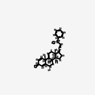 C[C@H]1C[C@@H]2C(=CC[C@]3(C)C(=C=C[S+]([O-])c4ccccc4)CC[C@@H]23)[C@@]2(C)C=CC(=O)C=C12